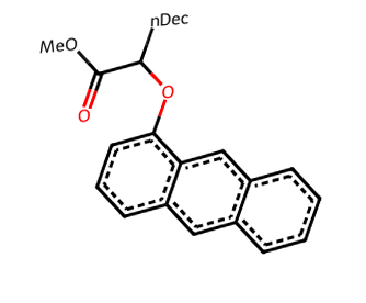 CCCCCCCCCCC(Oc1cccc2cc3ccccc3cc12)C(=O)OC